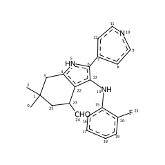 CC1(C)Cc2[nH]c(-c3ccncc3)c(Nc3ccccc3F)c2C(C=O)C1